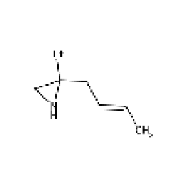 C/C=C/CC1(CC)CN1